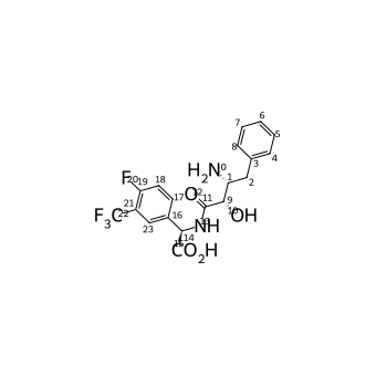 N[C@H](Cc1ccccc1)[C@H](O)C(=O)N[C@@H](C(=O)O)c1ccc(F)c(C(F)(F)F)c1